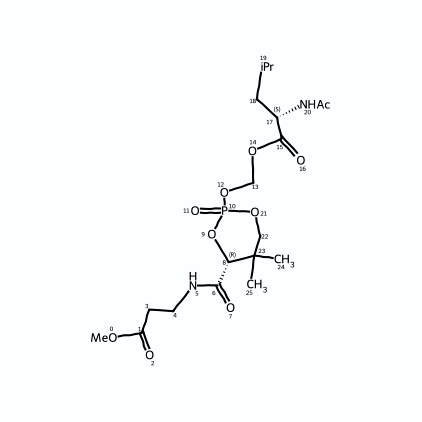 COC(=O)CCNC(=O)[C@@H]1OP(=O)(OCOC(=O)[C@H](CC(C)C)NC(C)=O)OCC1(C)C